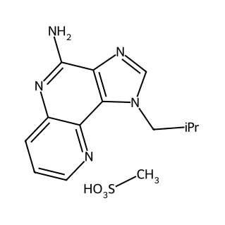 CC(C)Cn1cnc2c(N)nc3cccnc3c21.CS(=O)(=O)O